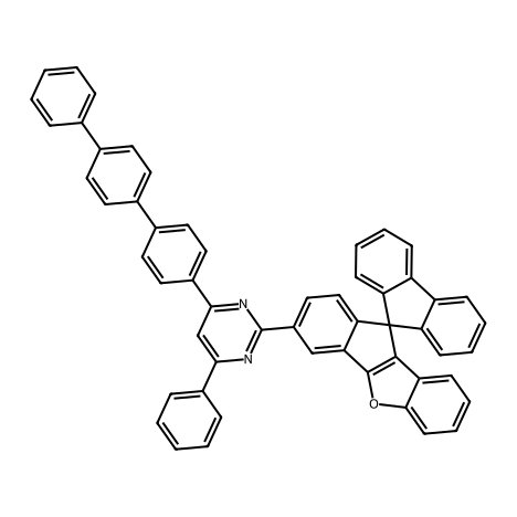 c1ccc(-c2ccc(-c3ccc(-c4cc(-c5ccccc5)nc(-c5ccc6c(c5)-c5oc7ccccc7c5C65c6ccccc6-c6ccccc65)n4)cc3)cc2)cc1